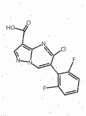 O=C(O)c1cnn2cc(-c3c(F)cccc3F)c(Cl)nc12